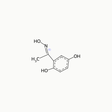 C/C(=N\O)c1cc(O)ccc1O